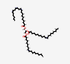 CCCCC/C=C\C/C=C\C/C=C\CCCCCCCCC(=O)OC[C@@H](COC(=O)CCCCCCC/C=C\CCCCCCCC)OC(=O)CCCCCCCCC/C=C\CCCCCCCC